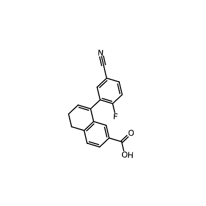 N#Cc1ccc(F)c(C2=CCCc3ccc(C(=O)O)cc32)c1